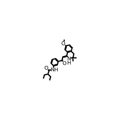 CCC(CC)C(=O)Nc1cccc(C(=O)C=C2NC(C)(C)Cc3ccc(OC)cc32)c1